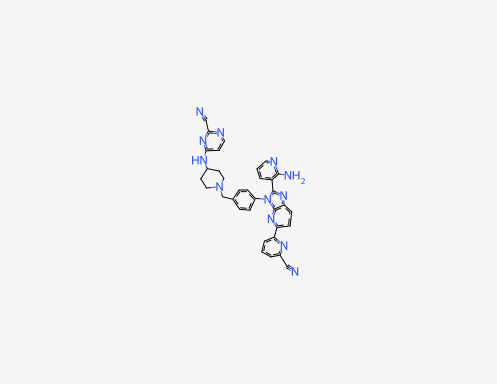 N#Cc1cccc(-c2ccc3nc(-c4cccnc4N)n(-c4ccc(CN5CCC(Nc6ccnc(C#N)n6)CC5)cc4)c3n2)n1